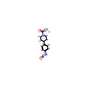 O=C=Nc1ccc(C2CCN(C(=O)C(F)(F)F)CC2)cc1